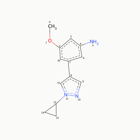 COc1cc(N)cc(-c2cnn(C3CC3)c2)c1